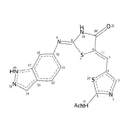 CC(=O)Nc1ncc(/C=C2\SC(=Nc3ccc4cn[nH]c4c3)NC2=O)s1